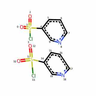 O=S(=O)(Cl)c1cccnc1.O=S(=O)(Cl)c1cccnc1